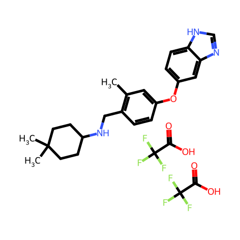 Cc1cc(Oc2ccc3[nH]cnc3c2)ccc1CNC1CCC(C)(C)CC1.O=C(O)C(F)(F)F.O=C(O)C(F)(F)F